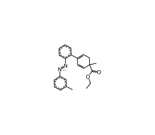 CCOC(=O)C1(C)C=CC(c2ccccc2/N=N/c2cccc(C)c2)=CC1